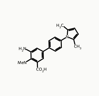 CNc1c(N)cc(-c2ccc(-n3c(C)ccc3C)cc2)cc1C(=O)O